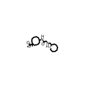 COC(=O)C1(C)CCCCCC(NC(=O)CNCC2CCCCCCCC2)CCC1